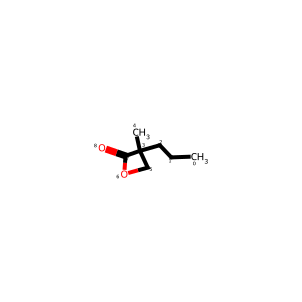 CCCC1(C)COC1=O